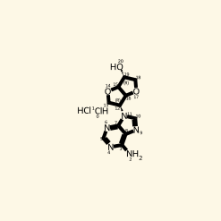 Cl.Cl.Nc1ncnc2c1ncn2[C@@H]1COC2C1OC[C@H]2O